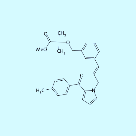 COC(=O)C(C)(C)OCc1cccc(C=CCn2cccc2C(=O)c2ccc(C)cc2)c1